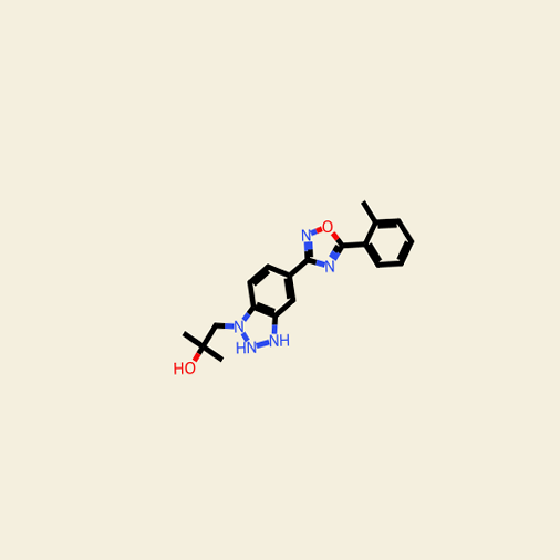 Cc1ccccc1-c1nc(-c2ccc3c(c2)NNN3CC(C)(C)O)no1